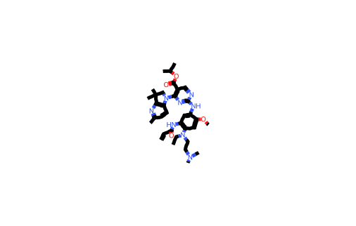 C=CC(=O)Nc1cc(Nc2ncc(C(=O)OC(C)C)c(N3CC(C)(C)c4nc(C)ccc43)n2)c(OC)cc1N(CC)CCN(C)C